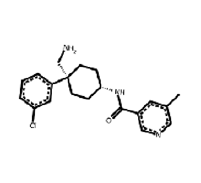 Cc1cncc(C(=O)N[C@H]2CC[C@](CN)(c3cccc(Cl)c3)CC2)c1